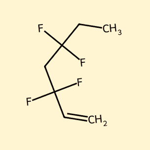 C=CC(F)(F)CC(F)(F)CC